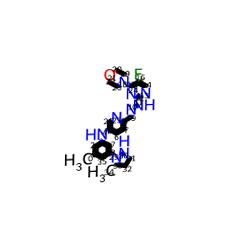 Cc1cc(Nc2ccc(/C=N/Nc3ncc(F)c(N4CCOCC4)n3)nc2)cc(N2NCCC2C)c1